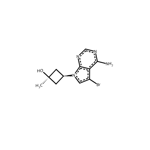 C[C@]1(O)C[C@@H](n2cc(Br)c3c(N)ncnc32)C1